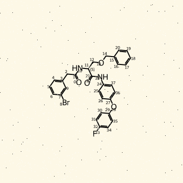 O=C(Cc1cccc(Br)c1)N[C@@H](COCc1ccccc1)C(=O)Nc1ccc(Oc2ccc(F)cc2)cc1